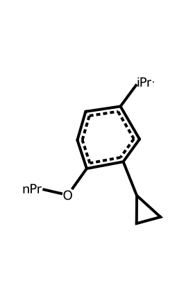 CCCOc1ccc([C](C)C)cc1C1CC1